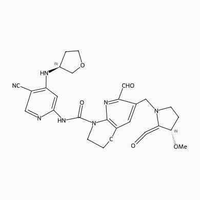 CO[C@H]1CCN(Cc2cc3c(nc2C=O)N(C(=O)Nc2cc(N[C@H]4CCOC4)c(C#N)cn2)CCC3)C1=C=O